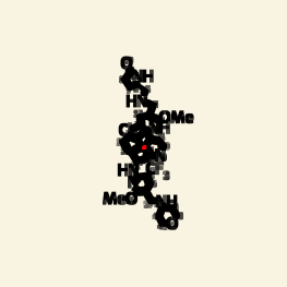 COC1=C(CNC[C@H]2CCC(=O)N2)C=C(Cl)C(c2ccncc2)(c2cccc3c2CC[C@H]3Nc2nc(OC)c(CNC3CCOCC3)cc2C(F)(F)F)N1